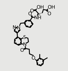 Cc1cccc(OCCCC(=O)N2CCSc3c(-c4cnn(Cc5cccc(C(=O)N[C@@H](CCC(=O)O)C(=O)O)c5)c4)cccc32)c1C